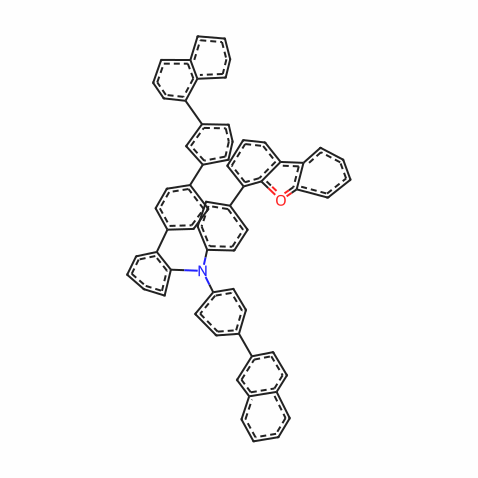 c1cc(-c2ccc(-c3ccccc3N(c3ccc(-c4ccc5ccccc5c4)cc3)c3ccc(-c4cccc5c4oc4ccccc45)cc3)cc2)cc(-c2cccc3ccccc23)c1